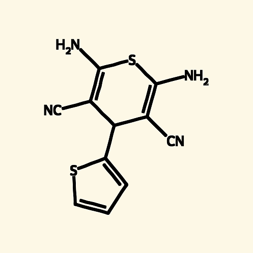 N#CC1=C(N)SC(N)=C(C#N)C1c1cccs1